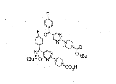 CC(C)(C)OC(=O)N1CCN(c2ncc(C(=O)c3ccc(F)cc3)cn2)CC1.CC(C)(C)[S@@+]([O-])/N=C(/c1ccc(F)cc1)c1cnc(N2CCN(C(=O)O)CC2)nc1